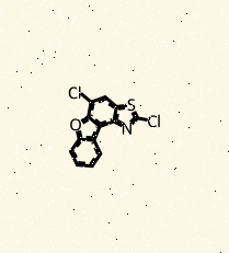 Clc1nc2c(cc(Cl)c3oc4ccccc4c32)s1